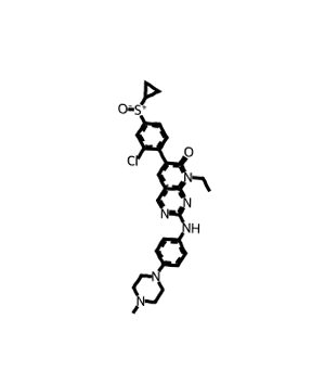 CCn1c(=O)c(-c2ccc([S+]([O-])C3CC3)cc2Cl)cc2cnc(Nc3ccc(N4CCN(C)CC4)cc3)nc21